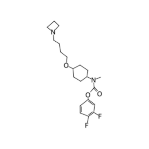 CN(C(=O)Oc1ccc(F)c(F)c1)C1CCC(OCCCCN2CCC2)CC1